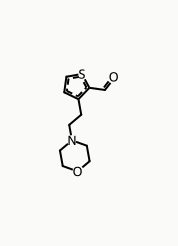 O=Cc1sccc1CCN1CCOCC1